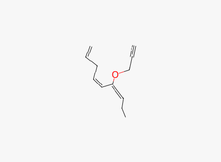 C#CCOC(/C=C\CC=C)=C/CC